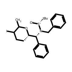 CC1O[C@H]([C@@H](c2ccccc2)N(Cc2ccccc2)[S@+]([O-])C(C)(C)C)CCC1I